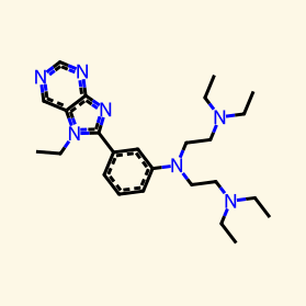 CCN(CC)CCN(CCN(CC)CC)c1cccc(-c2nc3ncncc3n2CC)c1